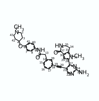 CN1CCC(Oc2ccc(NC(=O)Cc3cccc(C#Cc4cnc(N)nc4-c4cc5c(n4C)CCNC5=O)c3)cc2)CC1